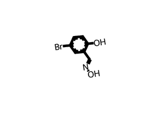 ON=Cc1cc(Br)ccc1O